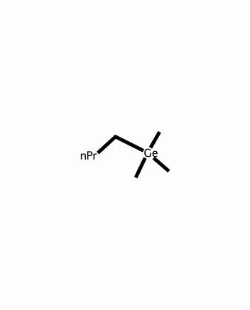 [CH2]CC[CH2][Ge]([CH3])([CH3])[CH3]